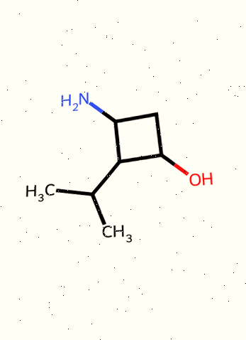 CC(C)C1C(N)CC1O